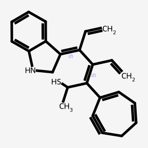 C=CC(/C(C=C)=C(/C1=CC=CCC#C1)C(C)S)=C1/CNc2ccccc21